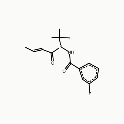 C/C=C/C(=O)N(NC(=O)c1cccc(F)c1)C(C)(C)C